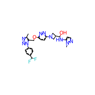 Cc1nnn(-c2ccc(C(F)F)cc2)c1COc1ccc(N2CC(C(O)Nc3ccnn3C)C2)nn1